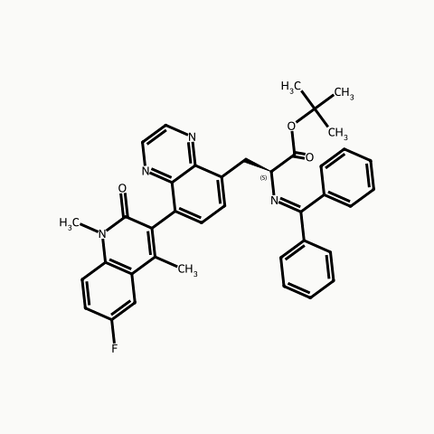 Cc1c(-c2ccc(C[C@H](N=C(c3ccccc3)c3ccccc3)C(=O)OC(C)(C)C)c3nccnc23)c(=O)n(C)c2ccc(F)cc12